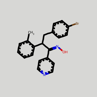 Cc1ccccc1C(Cc1ccc(Br)cc1)C(=NO)c1ccncc1